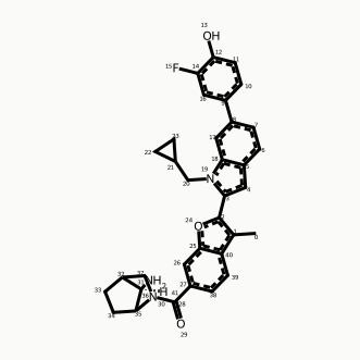 Cc1c(-c2cc3ccc(-c4ccc(O)c(F)c4)cc3n2CC2CC2)oc2cc(C(=O)N3CC4CCC3[C@@H]4N)ccc12